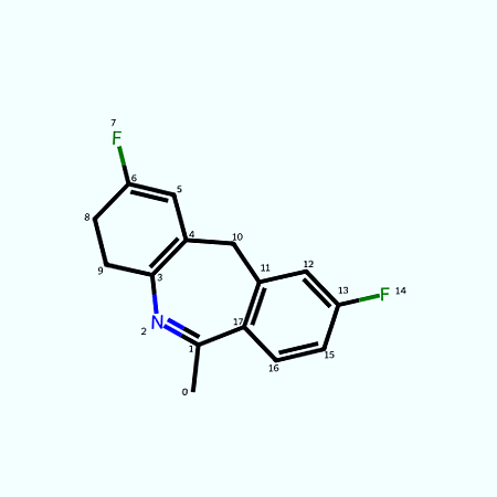 CC1=NC2=C(C=C(F)CC2)Cc2cc(F)ccc21